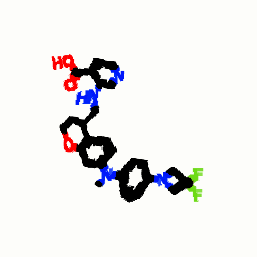 CN(c1ccc(N2CC(F)(F)C2)cc1)c1ccc2c(c1)OCC[C@H]2CNc1cnccc1C(=O)O